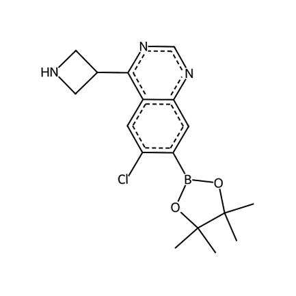 CC1(C)OB(c2cc3ncnc(C4CNC4)c3cc2Cl)OC1(C)C